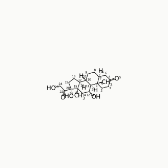 C[C@]12CCC(=O)C[C@@H]1CC[C@@H]1[C@@H]2[C@@H](O)C[C@@]2(C)[C@H]1CC[C@]2(O)C(=O)CO